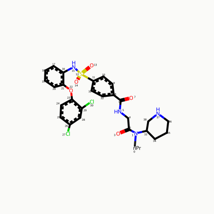 CCCN(C(=O)CNC(=O)c1ccc(S(=O)(=O)Nc2ccccc2Oc2ccc(Cl)cc2Cl)cc1)C1CCCNC1